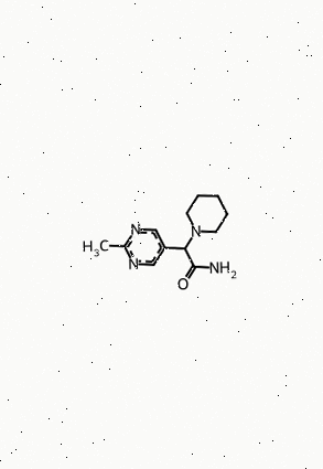 Cc1ncc(C(C(N)=O)N2CCCCC2)cn1